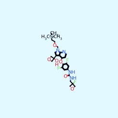 C[Si](C)(C)CCOCn1cc(C2(O)COC2)c2c(Oc3c(F)cc(NC(=O)NCC4(F)COC4)cc3F)ccnc21